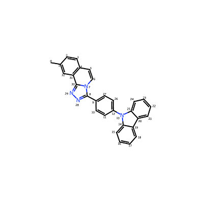 Cc1ccc2ccn3c(-c4ccc(-n5c6ccccc6c6ccccc65)cc4)nnc3c2c1